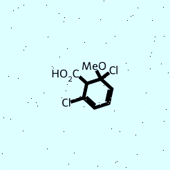 COC1(Cl)C=CC=C(Cl)C1C(=O)O